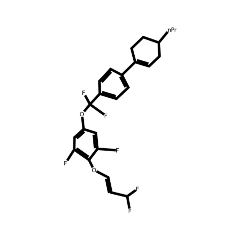 CCCC1CC=C(c2ccc(C(F)(F)Oc3cc(F)c(O/C=C/C(F)F)c(F)c3)cc2)CC1